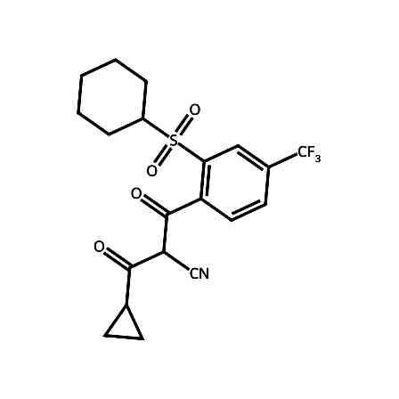 N#CC(C(=O)c1ccc(C(F)(F)F)cc1S(=O)(=O)C1CCCCC1)C(=O)C1CC1